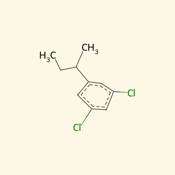 CCC(C)c1cc(Cl)cc(Cl)c1